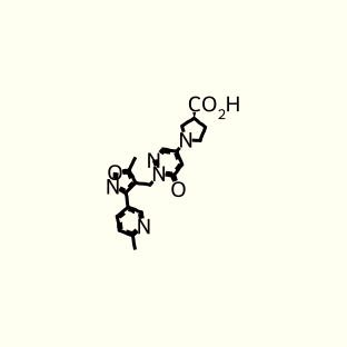 Cc1ccc(-c2noc(C)c2Cn2ncc(N3CC[C@H](C(=O)O)C3)cc2=O)cn1